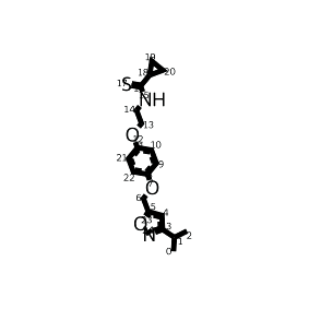 CC(C)c1cc(COc2ccc(OCCNC(=S)C3CC3)cc2)on1